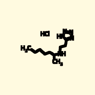 CCCCCC(C)NCCc1nnn[nH]1.Cl